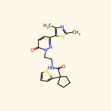 Cc1nc(C)c(-c2ccc(=O)n(CCNC(=O)C3(c4cccs4)CCCC3)n2)s1